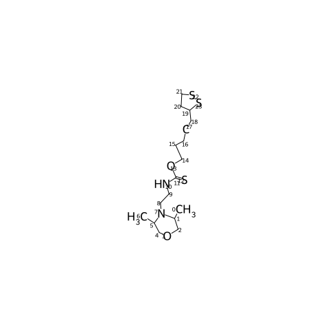 CC1COCC(C)N1CCNC(=S)OCCCCCC1CCSS1